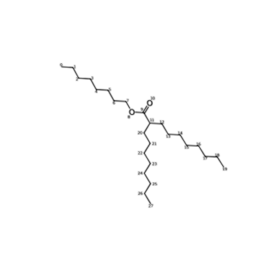 CCCCCCCCOC(=O)C(CCCCCCCC)CCCCCCCC